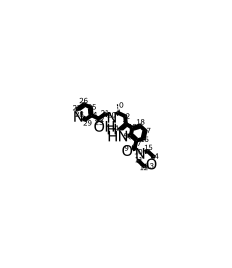 C[C@H](Cc1c[nH]c2c(C(=O)N3CCOCC3)cccc12)NC[C@H](O)c1cccnc1